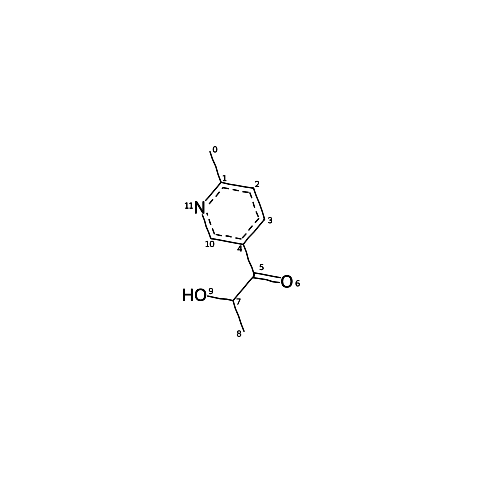 Cc1ccc(C(=O)C(C)O)cn1